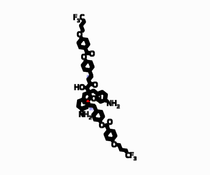 Nc1ccc(CC(Cc2ccc(N)cc2)(C(O)C(=O)/C=C/c2ccc(OC(=O)c3ccc(OCCCC(F)(F)F)cc3)cc2)C(O)C(=O)/C=C/c2ccc(OC(=O)c3ccc(OCCCC(F)(F)F)cc3)cc2)cc1